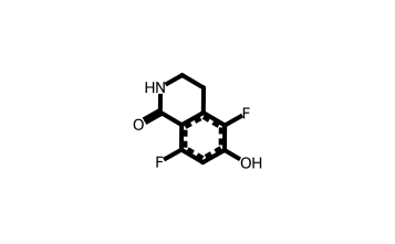 O=C1NCCc2c(F)c(O)cc(F)c21